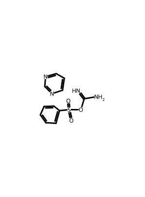 N=C(N)OS(=O)(=O)c1ccccc1.c1cncnc1